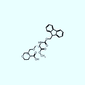 COC(=O)[C@H](COC[C@@H]1COCCN1C(=O)O)NC(=O)OCC1c2ccccc2-c2ccccc21